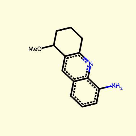 COC1CCCc2nc3c(N)cccc3cc21